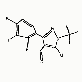 CC(C)(C)n1nc(-c2ccc(F)c(F)c2F)c(C=O)c1Cl